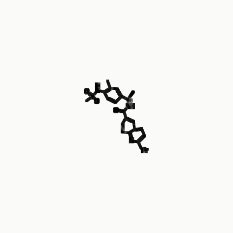 Cc1cc([C@@H](C)NC(=O)c2ccc3nc(C(C)C)ccc3c2)ccc1NS(C)(=O)=O